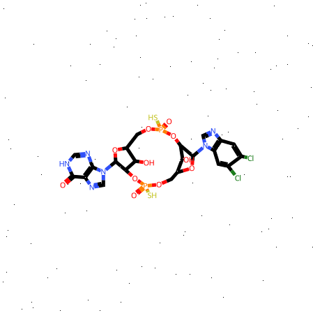 O=c1[nH]cnc2c1ncn2C1OC2COP(=O)(S)OC3C(O)C(COP(=O)(S)OC1C2O)OC3n1cnc2cc(Cl)c(Cl)cc21